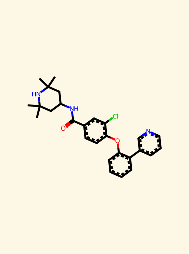 CC1(C)CC(NC(=O)c2ccc(Oc3ccccc3-c3cccnc3)c(Cl)c2)CC(C)(C)N1